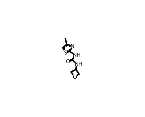 Cc1csc(NC(=O)NC2COC2)n1